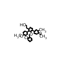 COc1ccc(-c2c[c]c(CCO)c(-c3ccc(OC)c(C)c3)c2OCc2ccccc2)cc1C